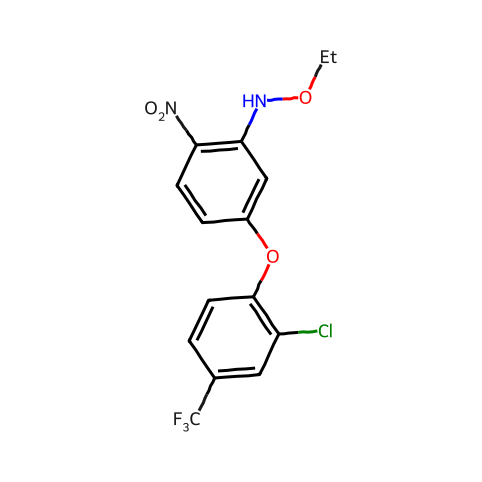 CCONc1cc(Oc2ccc(C(F)(F)F)cc2Cl)ccc1[N+](=O)[O-]